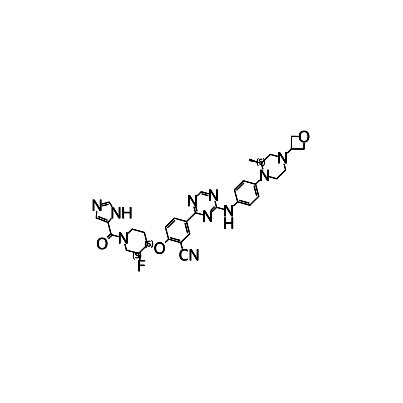 C[C@H]1CN(C2COC2)CCN1c1ccc(Nc2ncnc(-c3ccc(O[C@H]4CCN(C(=O)c5cnc[nH]5)C[C@@H]4F)c(C#N)c3)n2)cc1